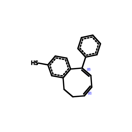 Sc1ccc2c(c1)CC/C=C\C=C/2c1ccccc1